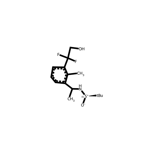 Cc1c(C(C)N[S@+]([O-])C(C)(C)C)cccc1C(F)(F)CO